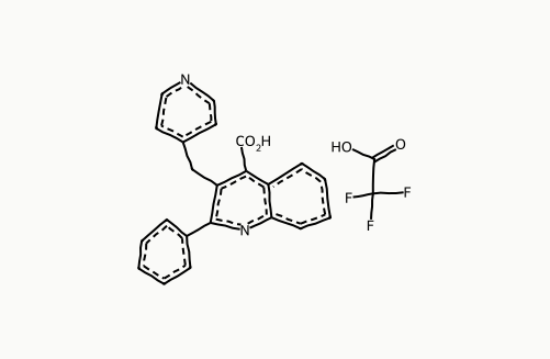 O=C(O)C(F)(F)F.O=C(O)c1c(Cc2ccncc2)c(-c2ccccc2)nc2ccccc12